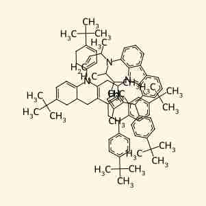 C=CC(C)N(c1cccc2c3cccc(C(C4=CC=C4C)c4ccc(C(C)(C)C)cc4)c3n(C3C=C(CC(c4ccc(C(C)(C)C)cc4)c4ccc(C(C)(C)C)cc4C)C4=C(C3)N(C3=CC=C(C(C)(C)C)CC3)C3=CC=C(C(C)(C)C)CC3C4)c12)C(C)C(C)C